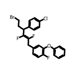 FC(Cc1ccc(F)c(Oc2ccccc2)c1)=C(F)C(CCBr)c1ccc(Cl)cc1